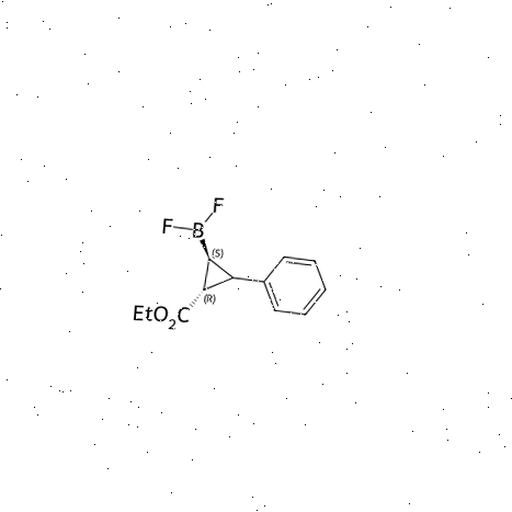 CCOC(=O)[C@H]1C(c2ccccc2)[C@@H]1B(F)F